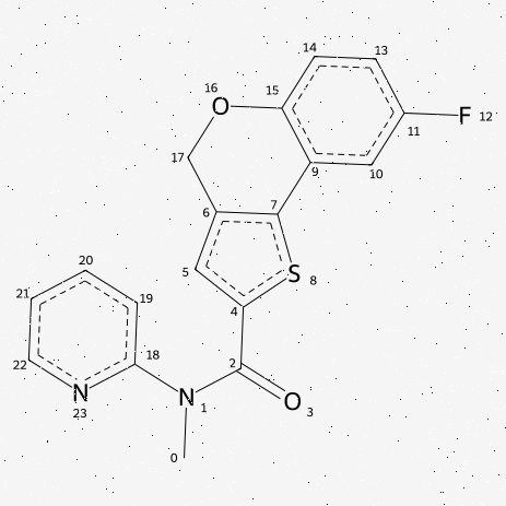 CN(C(=O)c1cc2c(s1)-c1cc(F)ccc1OC2)c1ccccn1